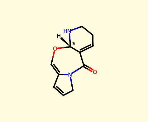 O=C1C2=CCCN[C@H]2OC=C2C=CCN12